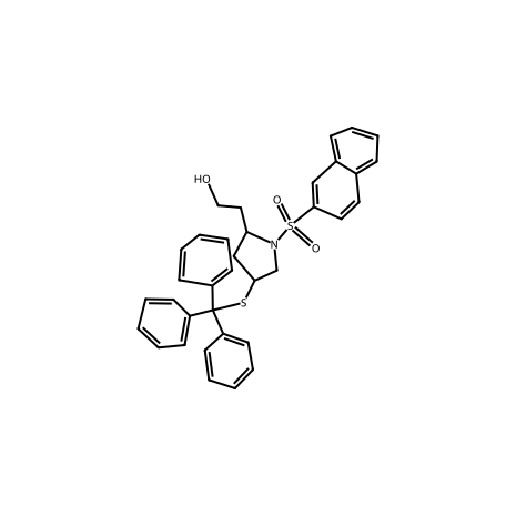 O=S(=O)(c1ccc2ccccc2c1)N1CC(SC(c2ccccc2)(c2ccccc2)c2ccccc2)CC1CCO